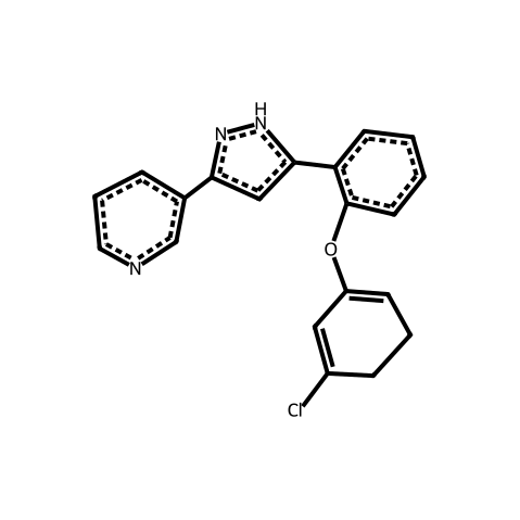 ClC1=CC(Oc2ccccc2-c2cc(-c3cccnc3)n[nH]2)=CCC1